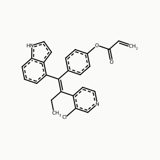 C=CC(=O)Oc1ccc(/C(=C(/CC)c2ccncc2Cl)c2cccc3[nH]ccc23)cc1